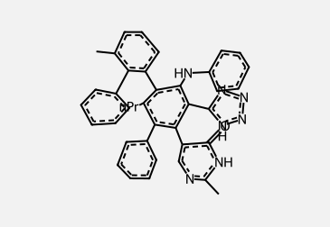 CCCc1c(-c2cccc(C)c2-c2ccccc2)c(Nc2ccccc2)c(-c2nnn[nH]2)c(-c2cnc(C)[nH]c2=O)c1-c1ccccc1